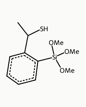 CO[Si](OC)(OC)c1ccccc1C(C)S